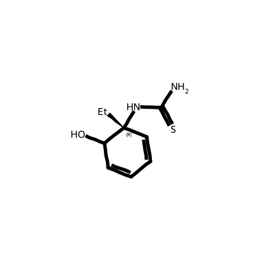 CC[C@@]1(NC(N)=S)C=CC=CC1O